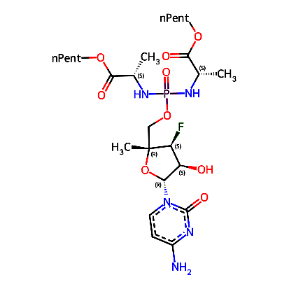 CCCCCOC(=O)[C@H](C)NP(=O)(N[C@@H](C)C(=O)OCCCCC)OC[C@@]1(C)O[C@@H](n2ccc(N)nc2=O)[C@H](O)[C@@H]1F